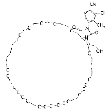 Cc1c(N2C(=O)N(CCO)C3(CCCCCCCCCCCCCCCCCCCCCCCCCCCCCCCCCCCCCCCCC3)C2=O)ccc(C#N)c1Cl